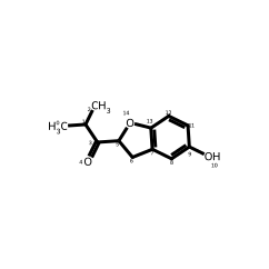 CC(C)C(=O)C1Cc2cc(O)ccc2O1